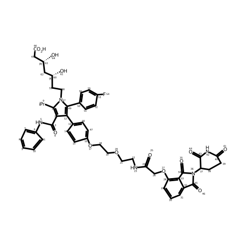 CC(C)c1c(C(=O)Nc2ccccc2)c(-c2ccc(OCCOCCNC(=O)COc3cccc4c3C(=O)N(C3CCC(=O)NC3=O)C4=O)cc2)c(-c2ccc(F)cc2)n1CC[C@@H](O)C[C@@H](O)CC(=O)O